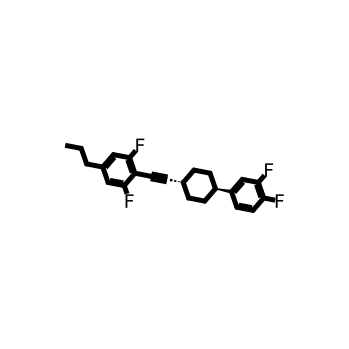 CCCc1cc(F)c(C#C[C@H]2CC[C@H](c3ccc(F)c(F)c3)CC2)c(F)c1